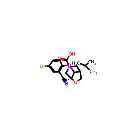 CC(C)(C)[C@@]12CO[C@@H](CN(C(=O)O)C1)C2Oc1ccc(Br)cc1C#N